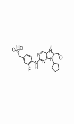 CN1c2cnc(Nc3ccc(C[SH](=O)=O)cc3F)nc2N(C2CCCC2)C1C=O